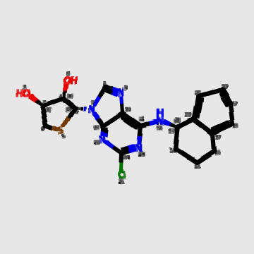 O[C@@H]1[C@H](O)CS[C@H]1n1cnc2c(N[C@@H]3CCCc4ccccc43)nc(Cl)nc21